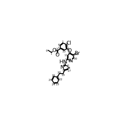 CCOC(=O)c1ccc(Cl)c(Oc2cc(Nc3nc(CCc4ccccc4)cs3)ncc2Br)c1